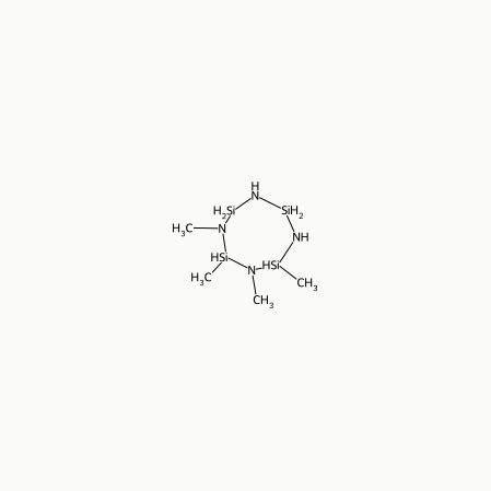 CN1[SiH2]N[SiH2]N[SiH](C)N(C)[SiH]1C